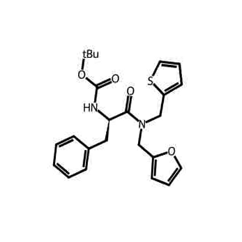 CC(C)(C)OC(=O)N[C@H](Cc1ccccc1)C(=O)N(Cc1ccco1)Cc1cccs1